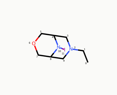 CCN1CC2COCC(C1)N2I